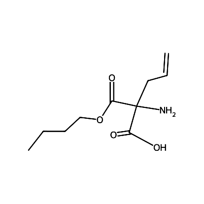 C=CCC(N)(C(=O)O)C(=O)OCCCC